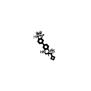 CC(=O)N1c2ccc(-c3ccc4c(c3)N(C)S(=O)(=O)N4)cc2NC[C@@]1(C)C(=O)C1CCC1